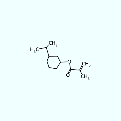 C=C(C)C(=O)OC1CCCC(C(C)C)C1